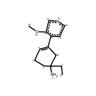 CCC1(N)CCC=C(c2ccncc2OC)C1